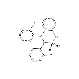 O=S1(=O)Nc2ccccc2C(c2ccccc2F)N1c1ccccc1F